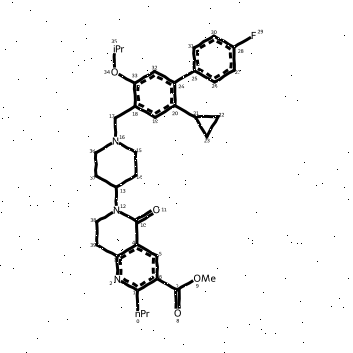 CCCc1nc2c(cc1C(=O)OC)C(=O)N(C1CCN(Cc3cc(C4CC4)c(-c4ccc(F)cc4)cc3OC(C)C)CC1)CC2